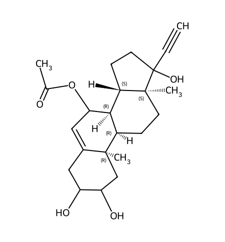 C#CC1(O)CC[C@H]2[C@@H]3C(OC(C)=O)C=C4CC(O)C(O)C[C@]4(C)[C@@H]3CC[C@@]21C